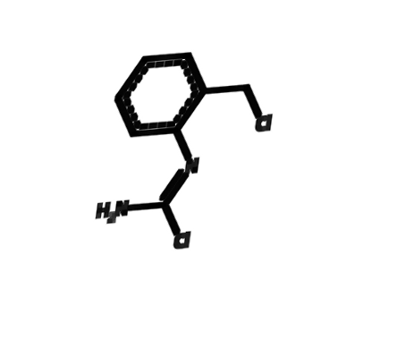 N/C(Cl)=N\c1ccccc1CCl